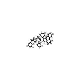 c1ccc(-c2nc(-c3cccc4c3c3ccc5cccc6c7ccccc7n4c3c56)nc3sc4cc5ccccc5cc4c23)cc1